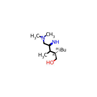 CC[C@@H](C)[C@@H](CO)C(C)C(=N)CN(C)C